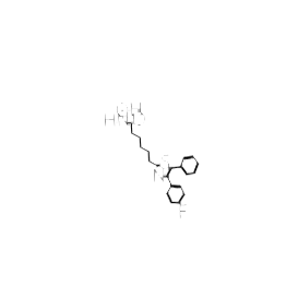 O=C(CCCCCc1nc(-c2ccc(F)cc2)c(-c2ccccc2)s1)NO